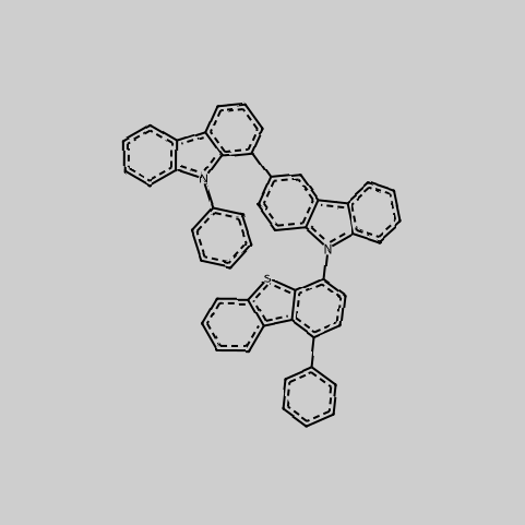 c1ccc(-c2ccc(-n3c4ccccc4c4cc(-c5cccc6c7ccccc7n(-c7ccccc7)c56)ccc43)c3sc4ccccc4c23)cc1